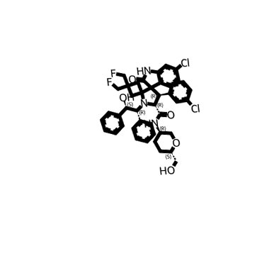 O=C(N[C@@H]1CC[C@@H](CO)OC1)[C@H]1[C@H](c2cccc(Cl)c2)C2(C(=O)Nc3cc(Cl)ccc32)C2(CC(CF)(CF)C2)N1[C@H](c1ccccc1)[C@@H](O)c1ccccc1